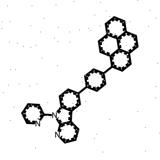 c1ccc(-n2c3ccc(-c4ccc(-c5ccc6ccc7cccc8ccc5c6c78)cc4)cc3c3cccnc32)nc1